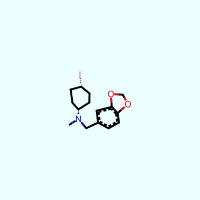 CN(Cc1ccc2c(c1)OCO2)[C@H]1CC[C@@H](I)CC1